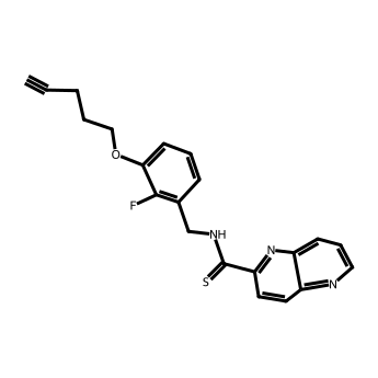 C#CCCCOc1cccc(CNC(=S)c2ccc3ncccc3n2)c1F